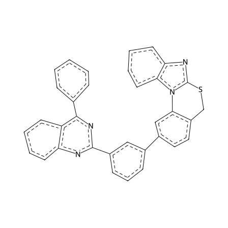 c1ccc(-c2nc(-c3cccc(-c4ccc5c(c4)-n4c(nc6ccccc64)SC5)c3)nc3ccccc23)cc1